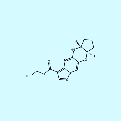 CCOC(=O)c1cnn2cc3c(nc12)N[C@@H]1CCC[C@H]1O3